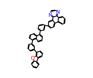 c1cc(-c2ccc3c4ccccc4c4nccnc4c3c2)cc(-c2cccc3c(-c4cccc(-c5cccc6c5oc5ccccc56)c4)cccc23)c1